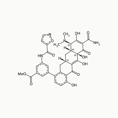 COC(=O)c1cc(NC(=O)c2ccno2)cc(-c2ccc(O)c3c2C[C@@H]2C[C@@H]4[C@@H](N(C)C)C(O)=C(C(N)=O)C(=O)[C@]4(O)C(O)=C2C3=O)c1